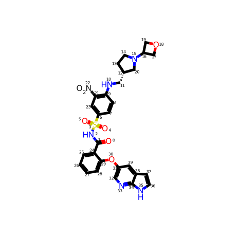 O=C(NS(=O)(=O)c1ccc(NC[C@@H]2CCN(C3COC3)C2)c([N+](=O)[O-])c1)c1ccccc1Oc1cnc2[nH]ccc2c1